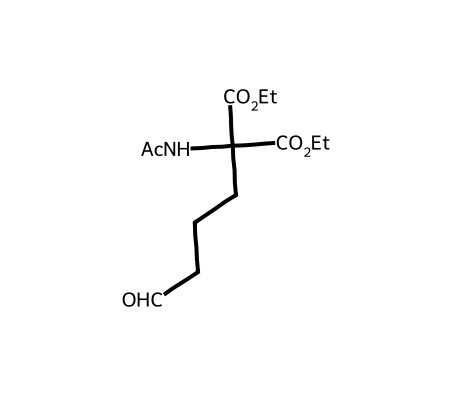 CCOC(=O)C(CCCC=O)(NC(C)=O)C(=O)OCC